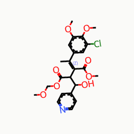 COCOC(=O)C(/C(C(=O)OC)=C(\C)c1cc(Cl)c(OC)c(OC)c1)C(O)c1ccncc1